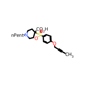 CC#CCOc1ccc(S(=O)(=O)C2(C(=O)O)CCN(CCCCC)CC2)cc1